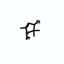 CCC1C=C(C)N(C(C)C)C1(C)C